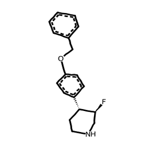 F[C@H]1CNCC[C@@H]1c1ccc(OCc2ccccc2)cc1